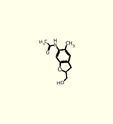 CC(=O)Nc1cc2c(cc1C)CC(CO)O2